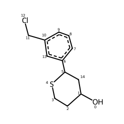 OC1CCSC(c2cccc(CCl)c2)C1